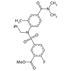 COC(=O)c1cc(S(=O)(=O)N(CC(C)C)c2ccc(C(=O)N(C)C)cc2C)ccc1F